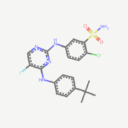 CC(C)(C)c1ccc(Nc2nc(Nc3ccc(Cl)c(S(N)(=O)=O)c3)ncc2F)cc1